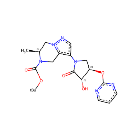 C[C@H]1Cn2ncc(N3C[C@@H](Oc4ncccn4)[C@H](O)C3=O)c2CN1C(=O)OC(C)(C)C